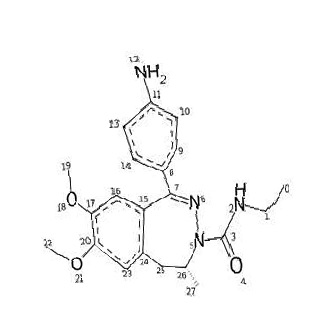 CCNC(=O)N1N=C(c2ccc(N)cc2)c2cc(OC)c(OC)cc2C[C@H]1C